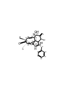 C=C1[C@@H](C)[C@H]2[C@H](Cc3ccccc3)NC(=O)[C@]23[C@H](OC(C)=O)/C=C\[C@H](C)C(=O)[C@@H](C)C/C=C\[C@H]3[C@@H]1O